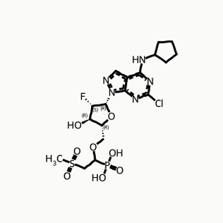 CS(=O)(=O)CC(OC[C@H]1O[C@@H](n2ncc3c(NC4CCCC4)nc(Cl)nc32)[C@@H](F)[C@@H]1O)P(=O)(O)O